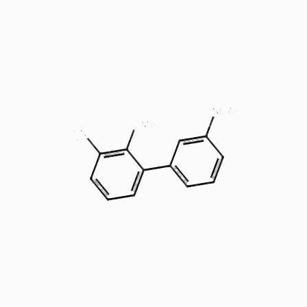 COc1c(-c2cccc(NC(C)=O)c2)cccc1[N+](=O)[O-]